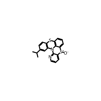 CC(C)c1ccc2c(c1)N1c3ncccc3[S+]([O-])c3cccc(c31)S2